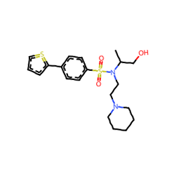 CC(CO)N(CCN1CCCCC1)S(=O)(=O)c1ccc(-c2cccs2)cc1